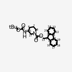 CC(C)(C)OC(=O)N[C@@H]1CCCN(C(=O)OCC2c3ccccc3-c3ccccc32)C1